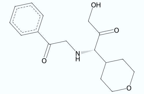 O=C(CN[C@H](C(=O)CO)C1CCOCC1)c1ccccc1